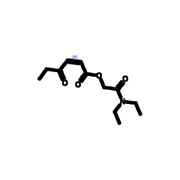 CCC(=O)/C=C\C(=O)OCC(=O)N(CC)CC